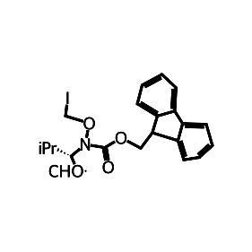 CC(C)[C@@H]([C]=O)N(OCI)C(=O)OCC1c2ccccc2-c2ccccc21